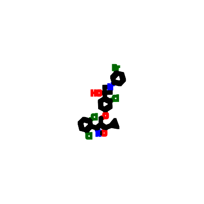 OC1(c2ccc(OCc3c(-c4c(Cl)cccc4Cl)noc3C3CC3)cc2Cl)CN(c2cccc(Br)c2)C1